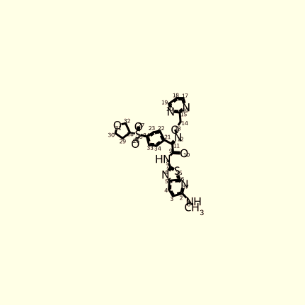 CNc1ccc2nc(NC(=O)/C(=N/OCc3ncccn3)c3ccc(S(=O)(=O)[C@H]4CCOC4)cc3)sc2n1